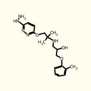 Cc1ccccc1OCC(O)CNC(C)(C)COc1ccc(NN)nn1